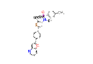 COP(=O)(c1ccc(C)cc1)N(c1cc(-c2ccc(-c3cc4ncccc4o3)cc2)sc1C(=O)O)C(C)C